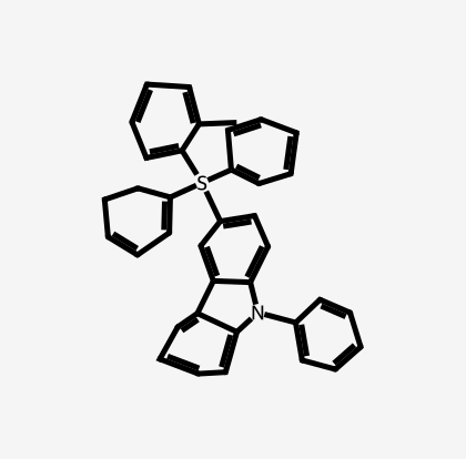 Cc1ccccc1S(C1=CC=CCC1)(c1ccccc1)c1ccc2c(c1)c1ccccc1n2-c1ccccc1